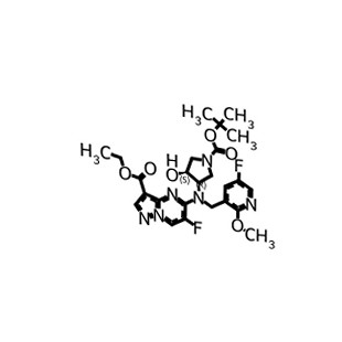 CCOC(=O)c1cnn2cc(F)c(N(Cc3cc(F)cnc3OC)[C@@H]3CN(C(=O)OC(C)(C)C)C[C@@H]3O)nc12